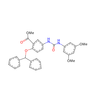 COC(=O)c1cc(NC(=O)Nc2cc(OC)cc(OC)c2)ccc1OC(c1ccccc1)c1ccccc1